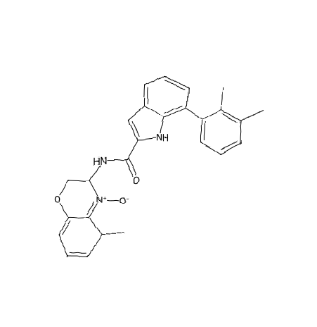 Cc1cccc(-c2cccc3cc(C(=O)NC4COC5=CC=CC(C)C5=[N+]4[O-])[nH]c23)c1C